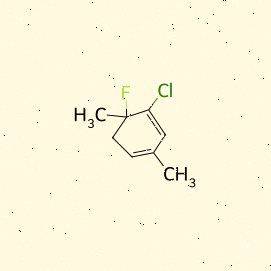 CC1=CCC(C)(F)C(Cl)=C1